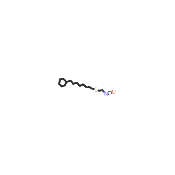 O=C=NCCCCCCCCCCCC1CCCCC1